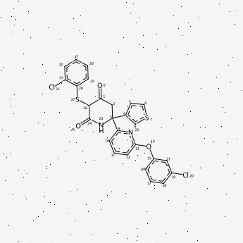 O=C1CC(c2ccsc2)(c2cccc(Oc3cccc(Cl)c3)n2)NC(=O)C1Sc1ccccc1Cl